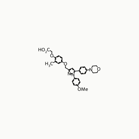 COc1ccc(-n2nc(COc3ccc(OCC(=O)O)c(C)c3)cc2-c2ccc(N3CCOCC3)cc2)cc1